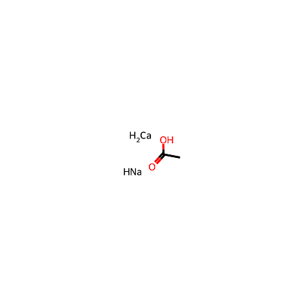 CC(=O)O.[CaH2].[NaH]